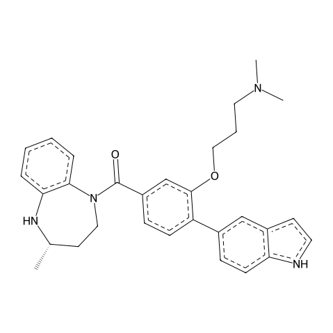 C[C@H]1CCN(C(=O)c2ccc(-c3ccc4[nH]ccc4c3)c(OCCCN(C)C)c2)c2ccccc2N1